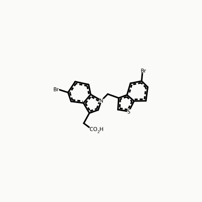 O=C(O)Cc1cn(Cc2csc3ccc(Br)cc23)c2ccc(Br)cc12